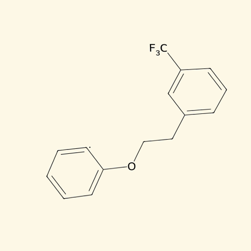 FC(F)(F)c1cccc(CCOc2[c]cccc2)c1